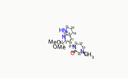 COC(OC)c1nc2c(cc1CN1CCCN(C)CC1=O)CCCN2